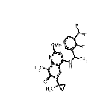 COc1nc(N[C@H](C)c2cccc(C(F)F)c2F)c2cn(C3(C)CC3)c(=O)c(C)c2n1